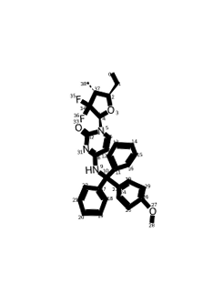 CC[C@H]1O[C@@H](n2ccc(NC(c3ccccc3)(c3ccccc3)c3ccc(OC)cc3)nc2=O)C(F)(F)[C@@H]1C